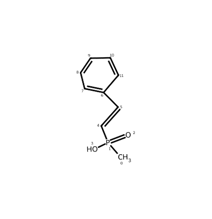 CP(=O)(O)C=Cc1ccccc1